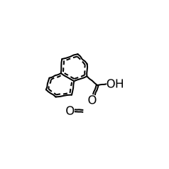 C=O.O=C(O)c1cccc2ccccc12